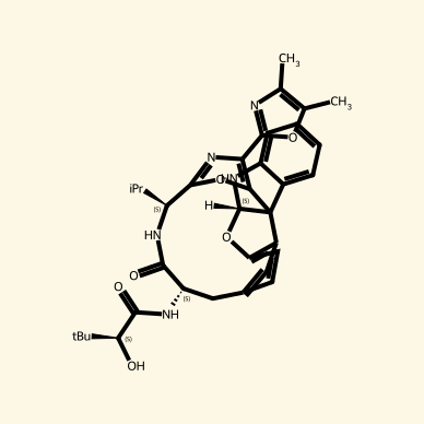 Cc1nc(-c2nc3oc2C24c5ccccc5N[C@H]2Oc2ccc(cc24)C[C@H](NC(=O)[C@@H](O)C(C)(C)C)C(=O)N[C@H]3C(C)C)oc1C